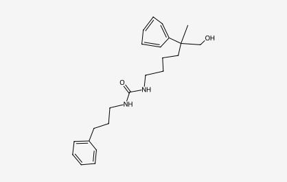 CC(CO)(CCCCNC(=O)NCCCc1ccccc1)c1ccccc1